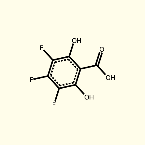 O=C(O)c1c(O)c(F)c(F)c(F)c1O